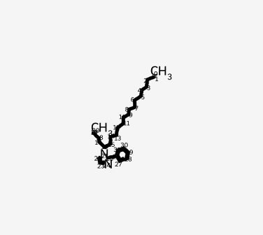 CCCCCCCCCCCCCCCCC(CCCC)n1ccnc1-c1ccccc1